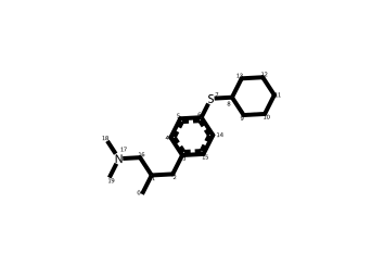 CC(Cc1ccc(SC2CCCCC2)cc1)CN(C)C